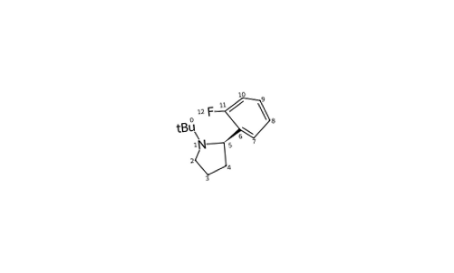 CC(C)(C)N1CCC[C@@H]1c1ccccc1F